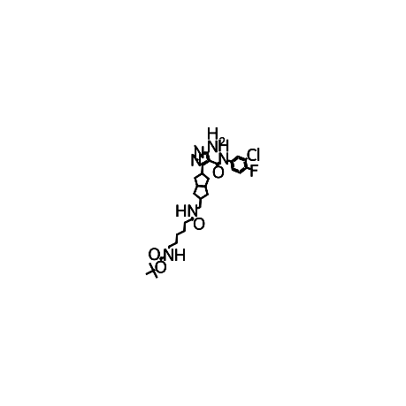 Cn1nc(C2CC3CC(CNC(=O)CCCCCNC(=O)OC(C)(C)C)CC3C2)c(C(=O)Nc2ccc(F)c(Cl)c2)c1N